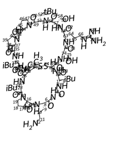 CC[C@H](C)[C@@H]1NC(=O)NC(=O)[C@H](CCCN)NC(=O)[C@@H]2CCCN2C(=O)[C@H]([C@@H](C)CC)NC(=O)[C@H]2NC(=O)[C@H]([C@@H](C)CC)NC(=O)[C@@H]3CCCN3C(=O)[C@@H]3CCCN3C(=O)[C@H](CC(C)(C)C)NC(=O)[C@H](CO)NC(=O)[C@H](CCCNC(=N)N)NC(=O)[C@H](CO)NC(=O)[C@@H](NC1=O)SSC2(C)C